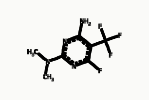 CN(C)c1nc(N)c(C(F)(F)F)c(F)n1